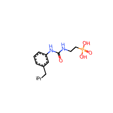 CC(C)Cc1cccc(NC(=O)NCCP(=O)(O)O)c1